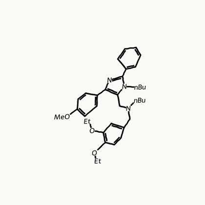 CCCCN(Cc1ccc(OCC)c(OCC)c1)Cc1c(-c2ccc(OC)cc2)nc(-c2ccccc2)n1CCCC